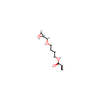 C=CC(=O)OCCCCOCC1CO1